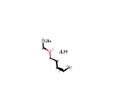 [CH2]C/C=C\CCOCOC.[LiH]